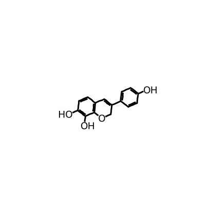 Oc1ccc(C2=Cc3ccc(O)c(O)c3OC2)cc1